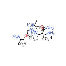 C[C@H](N)C(=O)O.NC(=O)C[C@H](N)C(=O)O.NCC(=O)O.NCC(=O)O.N[C@@H](CO)C(=O)O